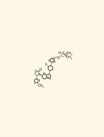 Cc1nc(C2COC(=O)N2c2ccn3ncc(-c4ccc(-c5ncn(COCC[Si](C)(C)C)n5)c(F)c4)c3n2)cs1